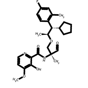 COc1ccnc(C(=O)N[C@](C)(C=O)CO[C@@H](C)[C@H](c2ccc(F)cc2C)C2CCCC2)c1O